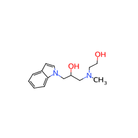 CN(CCO)CC(O)Cn1ccc2ccccc21